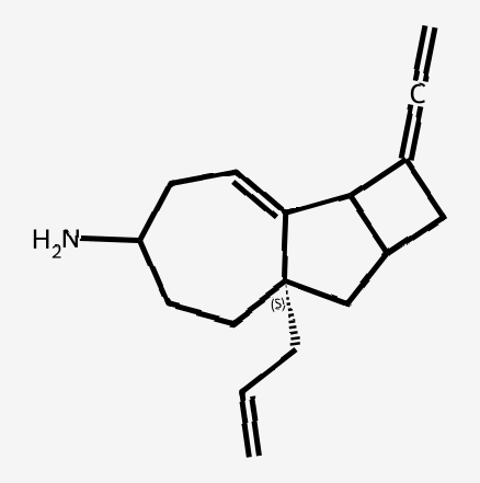 C=C=C1CC2C[C@@]3(CC=C)CCC(N)CC=C3C12